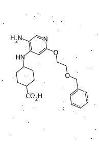 Nc1cnc(OCCOCc2ccccc2)cc1NC1CCC(C(=O)O)CC1